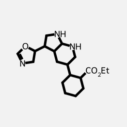 CCOC(=O)C1CCCCC1C1CNC2NCC(C3CN=CO3)C2C1